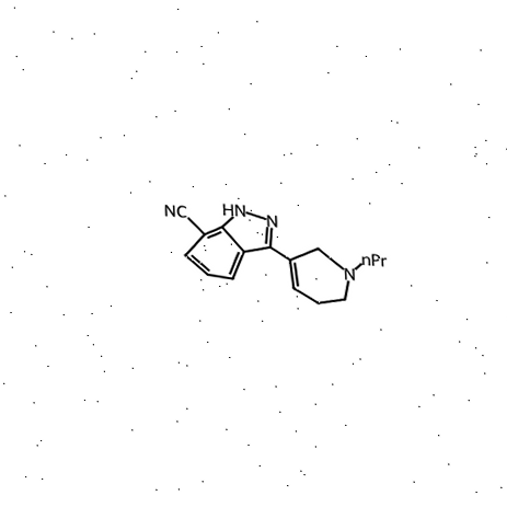 CCCN1CCC=C(c2n[nH]c3c(C#N)cccc23)C1